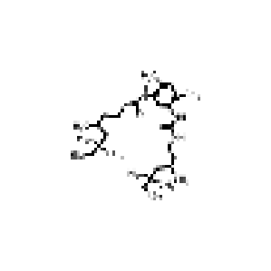 Cc1cc(C)c(NC(=O)NCCC(C)CC(C)(C)CC(C)(C)C)cc1NC(=O)NCCC(C)CC(C)(C)CC(C)(C)C